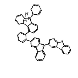 C1=CCC(N2c3cccc(-c4ccccc4-c4ccc5c(c4)c4ccccc4n5-c4ccc5sc6ccccc6c5c4)c3C3C=CC=C[C@H]32)C=C1